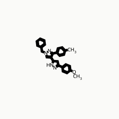 COc1ccc(C2=NNC(c3cn(Cc4ccccc4)nc3-c3ccc(C)cc3)C2)cc1